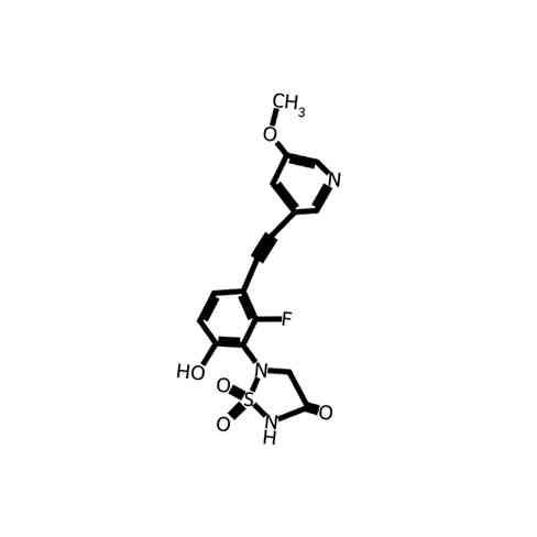 COc1cncc(C#Cc2ccc(O)c(N3CC(=O)NS3(=O)=O)c2F)c1